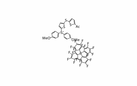 COc1ccc([S+](c2ccc(OC)cc2)c2ccc(Sc3ccc(C(C)=O)s3)s2)cc1.Fc1c(F)c(F)c([B-](c2c(F)c(F)c(F)c(F)c2F)(c2c(F)c(F)c(F)c(F)c2F)c2c(F)c(F)c(F)c(F)c2F)c(F)c1F